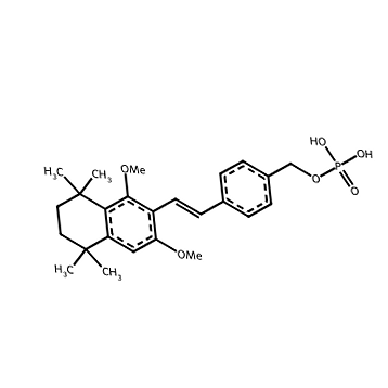 COc1cc2c(c(OC)c1C=Cc1ccc(COP(=O)(O)O)cc1)C(C)(C)CCC2(C)C